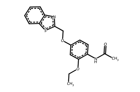 CCOc1cc(OCc2nc3ccccc3s2)ccc1NC(C)=O